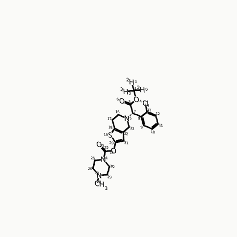 [2H]C([2H])([2H])OC(=O)[C@H](c1ccccc1Cl)N1CCc2sc(OC(=O)N3CCN(C)CC3)cc2C1